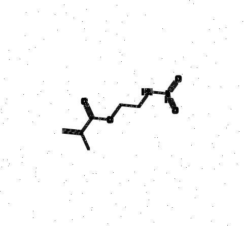 C=C(C)C(=O)OCCN[SH](=O)=O